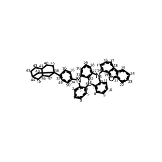 c1ccc2c(c1)B1c3ccccc3N(c3cccc4c3oc3ccccc34)c3cccc(c31)N2c1ccc(C23CCC4CCC(CC4C2)C3)cc1